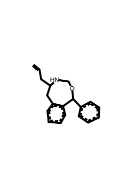 C=CCC1Cc2ccccc2C(c2ccccc2)OCN1